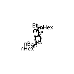 CCCCCCC(CCCC)CN1CCC(N(C)C(=O)C(CC)CCCCCC)CC1